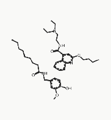 CCCCCCCCC(=O)NCc1ccc(O)c(OC)c1.CCCCOc1cc(C(=O)NCCN(CC)CC)c2ccccc2n1